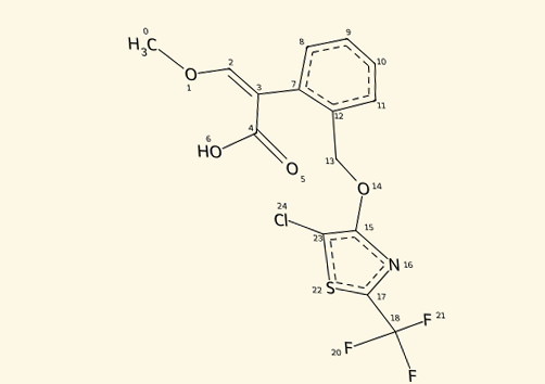 COC=C(C(=O)O)c1ccccc1COc1nc(C(F)(F)F)sc1Cl